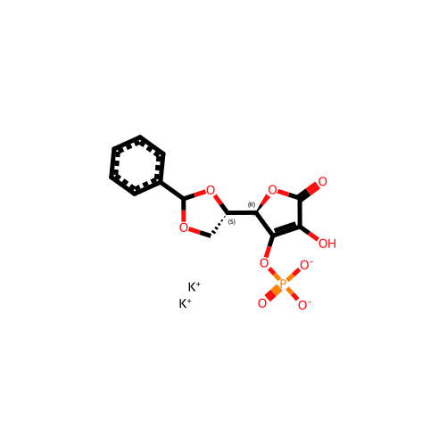 O=C1O[C@H]([C@@H]2COC(c3ccccc3)O2)C(OP(=O)([O-])[O-])=C1O.[K+].[K+]